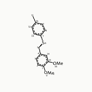 COc1ccc(CSc2ccc(C)cc2)cc1OC